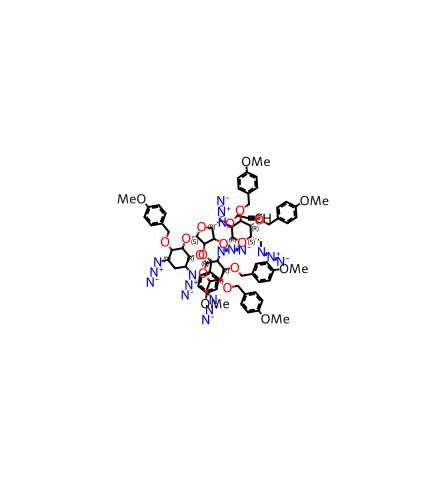 C#CCOC[C@H]1O[C@@H](OC2C(OCc3ccc(OC)cc3)[C@H](N=[N+]=[N-])CC(N=[N+]=[N-])[C@H]2O[C@H]2OC(CN=[N+]=[N-])[C@@H](OCc3ccc(OC)cc3)[C@H](OCc3ccc(OC)cc3)C2N=[N+]=[N-])C(OCc2ccc(OC)cc2)C1O[C@H]1O[C@@H](CN=[N+]=[N-])[C@@H](OCc2ccc(OC)cc2)C(OCc2ccc(OC)cc2)C1N=[N+]=[N-]